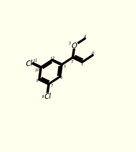 CC=C(OC)c1cc(Cl)cc(Cl)c1